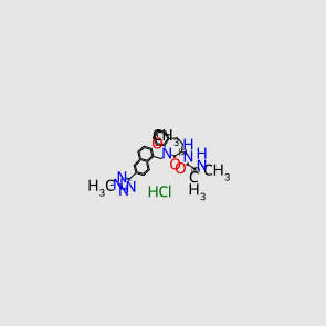 CN[C@@H](C)C(=O)N[C@H]1CCc2ccccc2N(Cc2c(OC)ccc3cc(-c4nnn(C)n4)ccc23)C1=O.Cl